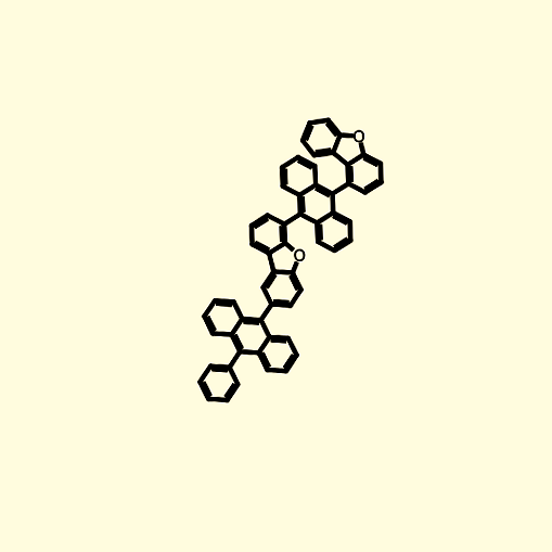 c1ccc(-c2c3ccccc3c(-c3ccc4oc5c(-c6c7ccccc7c(-c7cccc8oc9ccccc9c78)c7ccccc67)cccc5c4c3)c3ccccc23)cc1